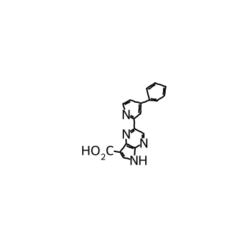 O=C(O)c1c[nH]c2ncc(-c3cc(-c4ccccc4)ccn3)nc12